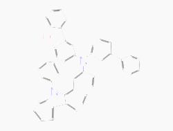 c1ccc(-c2cccc(N(c3ccc4oc5ccccc5c4c3)c3ccc4ccc5c6ccccc6n(-c6ccccc6)c5c4c3)c2)cc1